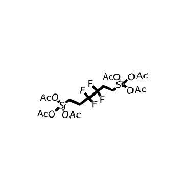 CC(=O)O[Si](CCC(F)(F)C(F)(F)CC[Si](OC(C)=O)(OC(C)=O)OC(C)=O)(OC(C)=O)OC(C)=O